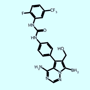 Bc1c(CO)c(-c2ccc(NC(=O)Nc3cc(C(F)(F)F)ccc3F)cc2)c2c(N)ncnn12